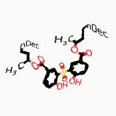 CCCCCCCCCCCCC(C)OC(=O)c1ccc(O)c(S(=O)(=O)c2cc(C(=O)OC(C)CCCCCCCCCCCC)ccc2O)c1